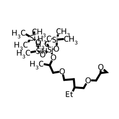 CCC(CCOCC(C)O[Si](C)(O[SiH](C)O[Si](C)(C)C)O[Si](C)(C)C)COCC1CO1